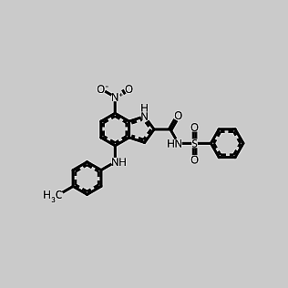 Cc1ccc(Nc2ccc([N+](=O)[O-])c3[nH]c(C(=O)NS(=O)(=O)c4ccccc4)cc23)cc1